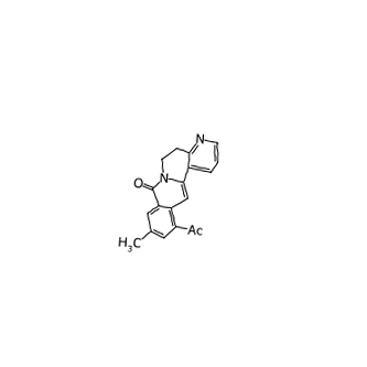 CC(=O)c1cc(C)cc2c(=O)n3c(cc12)-c1cccnc1CC3